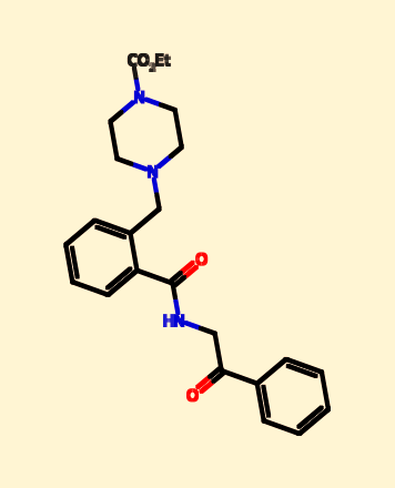 CCOC(=O)N1CCN(Cc2ccccc2C(=O)NCC(=O)c2ccccc2)CC1